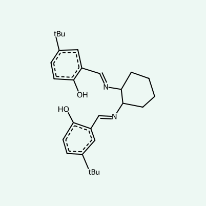 CC(C)(C)c1ccc(O)c(C=NC2CCCCC2N=Cc2cc(C(C)(C)C)ccc2O)c1